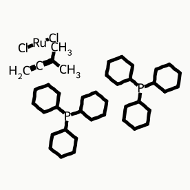 C1CCC(P(C2CCCCC2)C2CCCCC2)CC1.C1CCC(P(C2CCCCC2)C2CCCCC2)CC1.C=C=C(C)C.[Cl][Ru][Cl]